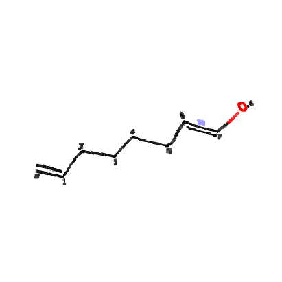 C=CCCCC/C=C/[O]